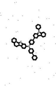 c1ccc(-c2ccc(N(c3ccc(-c4ccc5c(c4)c4ccccc4n5-c4ccccc4)cc3)c3ccc4c(c3)sc3c5ccccc5ccc43)cc2)cc1